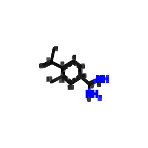 C=C(C)c1ccc(C(=N)N)cc1C